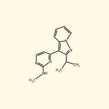 CNc1nccc(-c2c(C(C)C)nn3ccccc23)n1